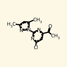 CC(=O)c1cc(Cl)nc(-n2nc(C)cc2C)n1